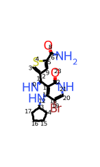 N=C(c1csc(C(N)=O)c1)c1c(NC2CCCC2)c(Br)c[nH]c1=O